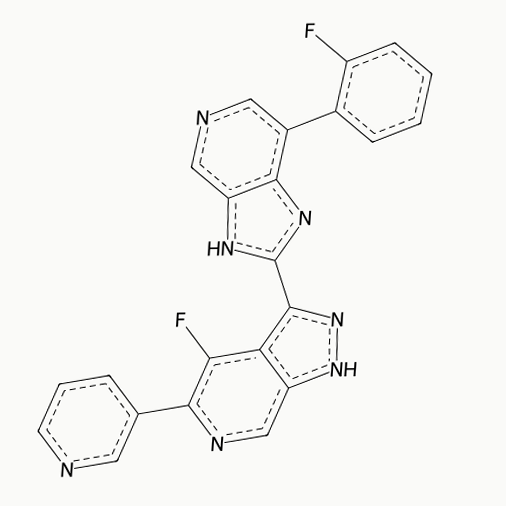 Fc1ccccc1-c1cncc2[nH]c(-c3n[nH]c4cnc(-c5cccnc5)c(F)c34)nc12